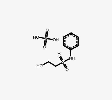 O=S(=O)(CCO)Nc1ccccc1.O=S(=O)(O)O